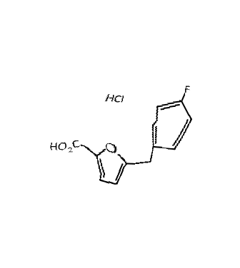 Cl.O=C(O)c1ccc(Cc2ccc(F)cc2)o1